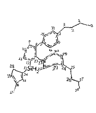 CCCCc1ccc(-c2cccc([SiH2]C3=CC(C)=CC3)c2-c2ccc(CCCC)cc2)cc1